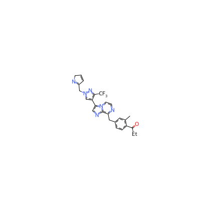 CCC(=O)c1ccc(Cc2nccn3c(-c4cn(CC5=NCC=C5)nc4C(F)(F)F)cnc23)cc1C